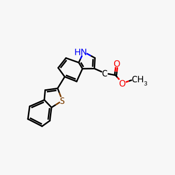 COC(=O)Cc1c[nH]c2ccc(-c3cc4ccccc4s3)cc12